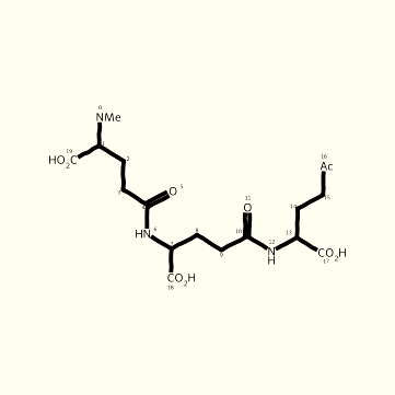 CNC(CCC(=O)NC(CCC(=O)NC(CCC(C)=O)C(=O)O)C(=O)O)C(=O)O